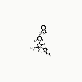 CC(C)CC(C(=O)Nc1ccn(C)n1)n1ncc(On2nnc3ccccc32)cc1=O